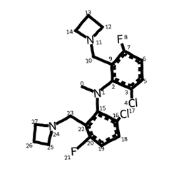 CN(c1c(Cl)ccc(F)c1CN1CCC1)c1c(Cl)ccc(F)c1CN1CCC1